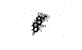 CC(=O)O[C@]1(C(=O)CCl)[C@@H](C)C[C@H]2[C@@H]3CCC4=CC(=O)C=C[C@]4(C)[C@@]3(Cl)[C@@H](O)C[C@@]21C